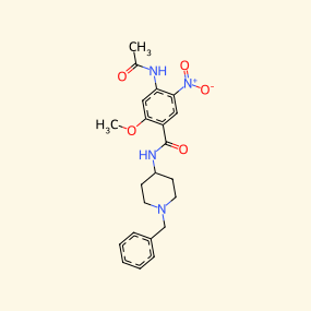 COc1cc(NC(C)=O)c([N+](=O)[O-])cc1C(=O)NC1CCN(Cc2ccccc2)CC1